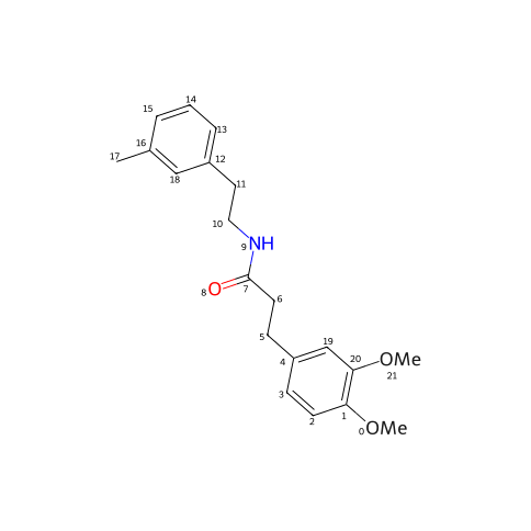 COc1ccc(CCC(=O)NCCc2cccc(C)c2)cc1OC